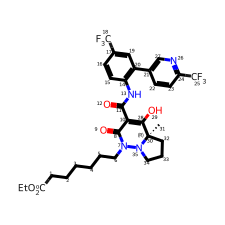 CCOC(=O)CCCCCCN1C(=O)C(C(=O)Nc2ccc(C(F)(F)F)cc2-c2ccc(C(F)(F)F)nc2)=C(O)[C@@]2(C)CCCN12